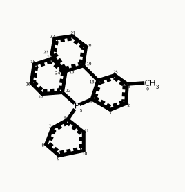 Cc1ccc(P(c2ccccc2)c2ccccc2)c(-c2ccccc2)c1